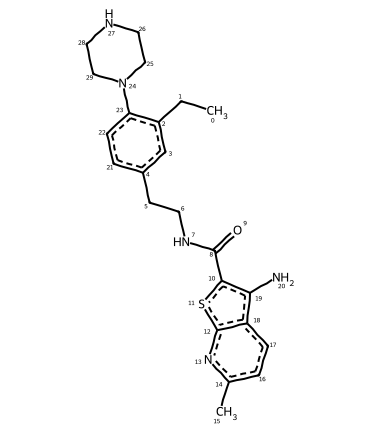 CCc1cc(CCNC(=O)c2sc3nc(C)ccc3c2N)ccc1N1CCNCC1